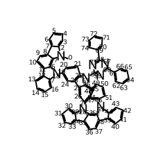 Cn1c2ccccc2c2ccc3c4ccccc4n(-c4ccc5c(c4)c4cc(-n6c7ccccc7c7ccc8c9ccccc9n(-c9ccccc9)c8c76)ccc4n5-c4nc(-c5ccccc5)nc(-c5ccccc5)n4)c3c21